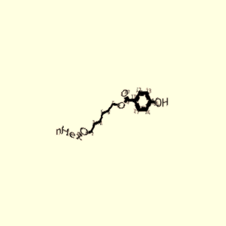 CCCCCCOCCCCCCOC(=O)c1ccc(O)cc1